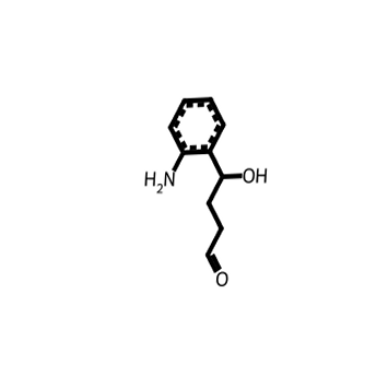 Nc1ccccc1C(O)CCC=O